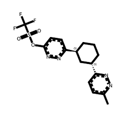 Cc1ccc([C@H]2CCC[C@H](c3ccc(OS(=O)(=O)C(F)(F)F)nn3)C2)nn1